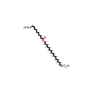 CCCCCC/C=C\CCCCCCCC(=O)OCCCCCCCCCCCCCCCCC(=O)O